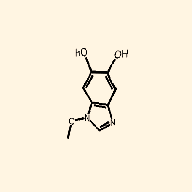 COn1cnc2cc(O)c(O)cc21